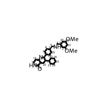 COc1cc(CNCc2ccc(-c3nc4cc[nH]c(=O)c4cc3-c3ccccc3)cc2)cc(OC)c1